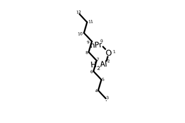 CCC[O][AlH2].[CH2]CCCCCCCCC